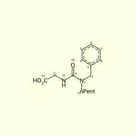 CCCCCN(Cc1ccccc1)C(=O)NCC(=O)O